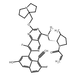 C#Cc1c(F)ccc2cc(O)cc(-c3ncc4c(N(C)C[C@@H]5C(C)CCN5C(=O)C=C)nc(OCC56CCCN5CCC6)nc4c3F)c12